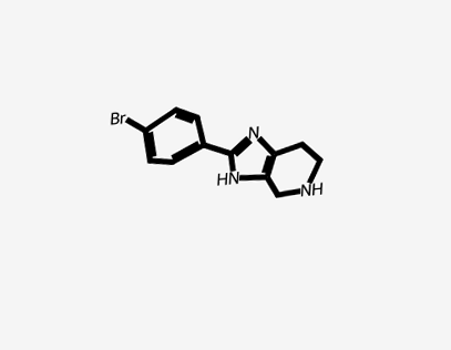 Brc1ccc(-c2nc3c([nH]2)CNCC3)cc1